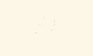 CC(C)C(CCc1ccccc1)(C(=O)OC1CCCCC1)C(=O)OC1CCCCC1